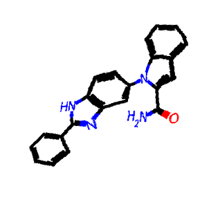 NC(=O)c1cc2ccccc2n1-c1ccc2[nH]c(-c3ccccc3)nc2c1